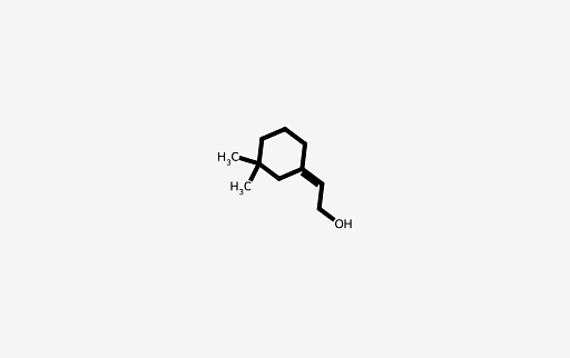 CC1(C)CCCC(=CCO)C1